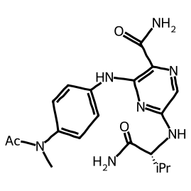 CC(=O)N(C)c1ccc(Nc2nc(N[C@@H](C(N)=O)C(C)C)cnc2C(N)=O)cc1